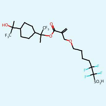 C=C(COCCCCC(F)(F)C(F)(F)S(=O)(=O)O)C(=O)OC(C)(C1CCC(C(C)(O)C(F)(F)F)CC1)C(F)(F)F